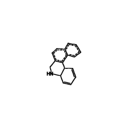 C1=CC2NCc3ccc4ccccc4c3C2C=C1